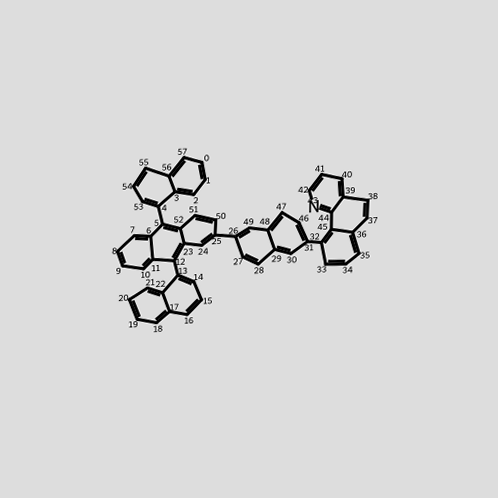 c1ccc2c(-c3c4ccccc4c(-c4cccc5ccccc45)c4cc(-c5ccc6cc(-c7cccc8ccc9cccnc9c78)ccc6c5)ccc34)cccc2c1